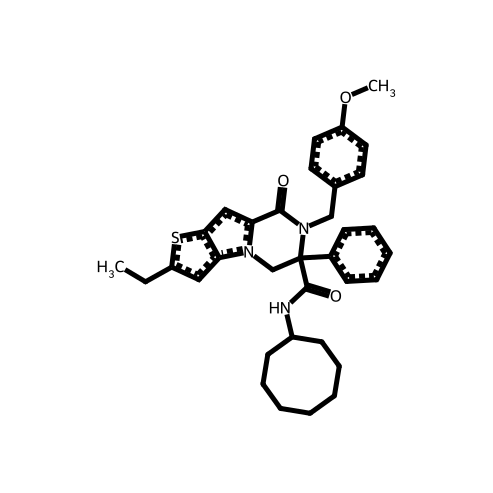 CCc1cc2c(cc3n2CC(C(=O)NC2CCCCCCC2)(c2ccccc2)N(Cc2ccc(OC)cc2)C3=O)s1